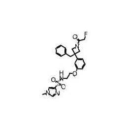 Cn1cnc(S(=O)(=O)NCCOc2cccc(C3(Cc4ccccc4)CN(C(=O)CF)C3)c2)c1